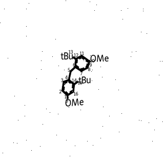 COc1ccc(Cc2ccc(OC)cc2C(C)(C)C)c(C(C)(C)C)c1